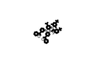 Cc1cc(C(C)(C)C)cc(C)c1N1c2cc(C(C)C)cc3c2B(c2ccc(-c4coc5ccccc45)cc2N3c2cccc(-c3coc4ccccc34)c2)c2sc3ccc(C(C)(C)C)cc3c21